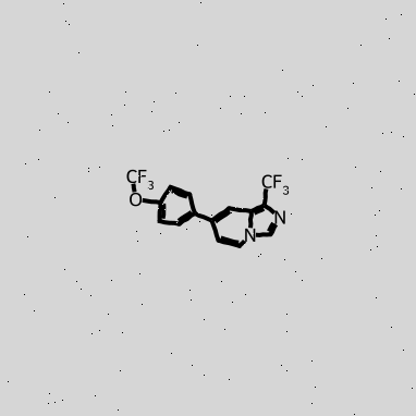 FC(F)(F)Oc1ccc(-c2ccn3cnc(C(F)(F)F)c3c2)cc1